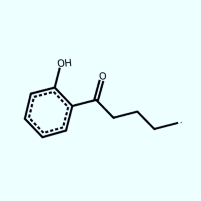 [CH2]CCCC(=O)c1ccccc1O